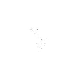 CCc1ccc(S(=O)(=O)OC)cc1OCCNC(=O)OC(C)(C)C